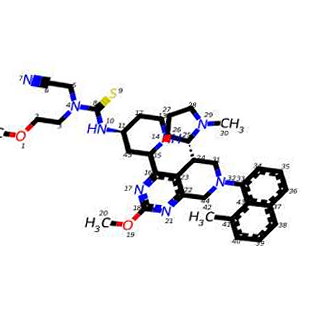 COCCN(CC#N)C(=S)N[C@H]1CCNC(c2nc(OC)nc3c2C([C@@H]2CCCN2C)CN(c2cccc4cccc(C)c24)C3)C1